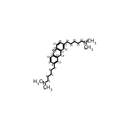 CN(C)CCCCCc1ccc2c(c1)Cc1cc(CCCCCN(C)C)ccc1S2